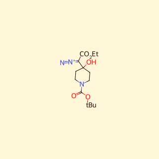 CCOC(=O)C(=[N+]=[N-])C1(O)CCN(C(=O)OC(C)(C)C)CC1